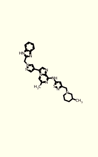 Cc1cn2c(-c3cnn(Cc4nc5ccccc5[nH]4)c3)cnc2c(Nc2cc(CN3CCCC(C)C3)ns2)n1